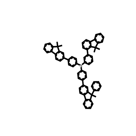 CC1(C)c2ccccc2-c2ccc(-c3ccc(N(c4ccc(-c5ccc6c(c5)C(C)(c5ccccc5)c5ccccc5-6)cc4)c4cccc(-c5cccc6c5C(C)(C)c5ccccc5-6)c4)cc3)cc21